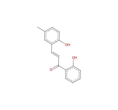 Cc1ccc(O)c(/C=C/C(=O)c2ccccc2O)c1